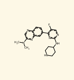 CN(C)c1cnc2ccc(-c3nc(NC4CCNCC4)ncc3F)cc2n1